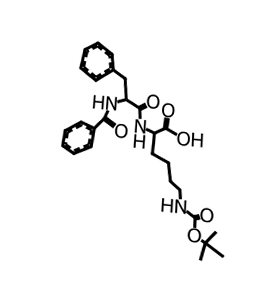 CC(C)(C)OC(=O)NCCCCC(NC(=O)C(Cc1ccccc1)NC(=O)c1ccccc1)C(=O)O